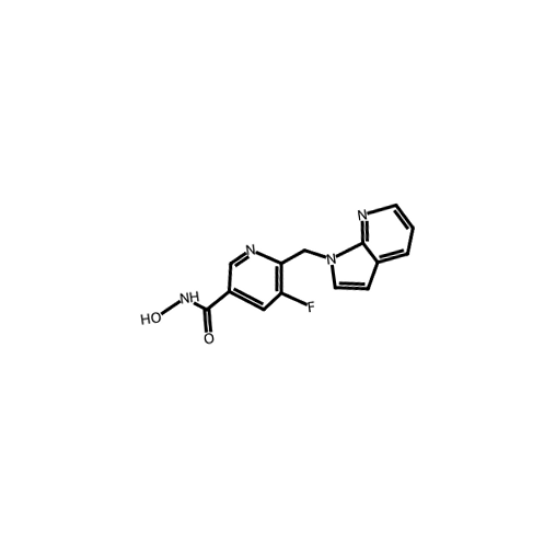 O=C(NO)c1cnc(Cn2ccc3cccnc32)c(F)c1